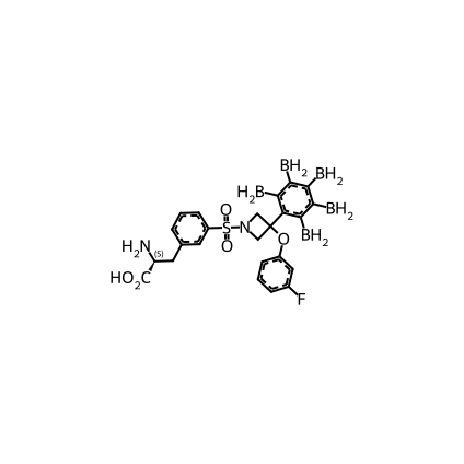 Bc1c(B)c(B)c(C2(Oc3cccc(F)c3)CN(S(=O)(=O)c3cccc(C[C@H](N)C(=O)O)c3)C2)c(B)c1B